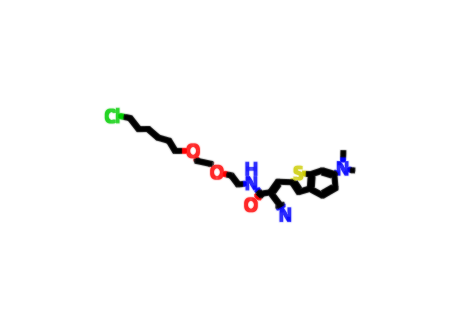 CN(C)c1ccc2cc(/C=C(\C#N)C(=O)NCCOCCOCCCCCCCl)sc2c1